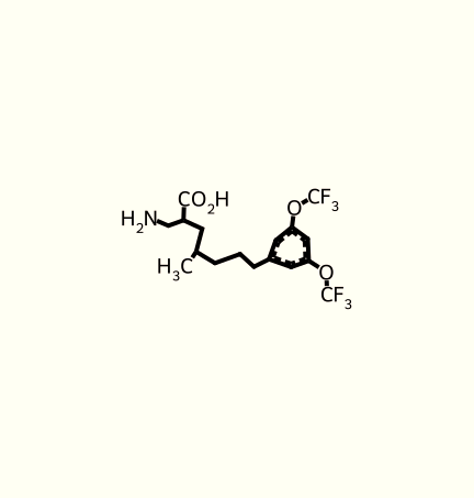 CC(CCCc1cc(OC(F)(F)F)cc(OC(F)(F)F)c1)CC(CN)C(=O)O